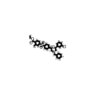 CCOC(=O)c1ccc(S(=O)(=O)c2ccc(CCN(Cc3ccccc3)C[C@H](O)c3cccc(Cl)c3)cc2)cc1C